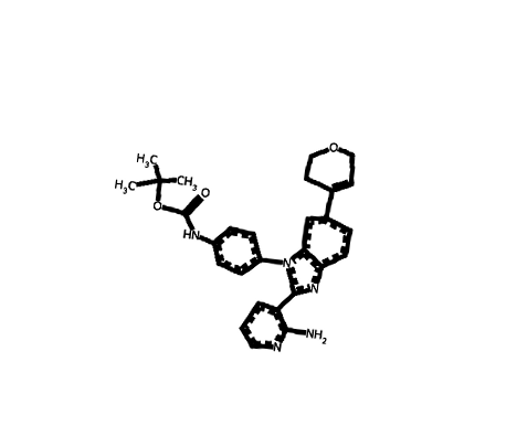 CC(C)(C)OC(=O)Nc1ccc(-n2c(-c3cccnc3N)nc3ccc(C4=CCOCC4)cc32)cc1